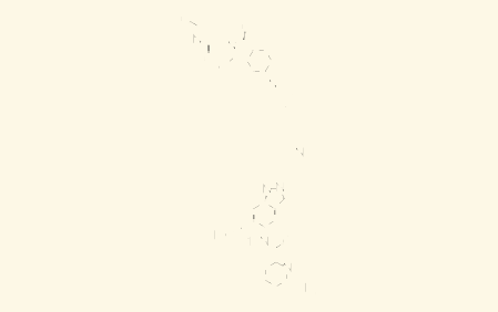 CC(C)(O)c1cc2nn(C3CCN(CC4CCC5(CC4)CCN(c4ccc6c(c4)C(=O)N(C4CCC(=O)NC4=O)C6=O)CC5)CC3)cc2cc1NC(=O)c1cccc(C(F)(F)F)n1